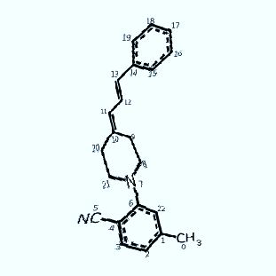 Cc1ccc(C#N)c(N2CCC(=CC=Cc3ccccc3)CC2)c1